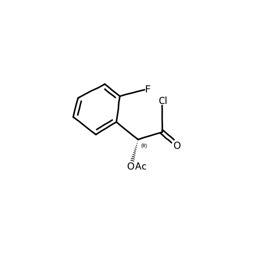 CC(=O)O[C@@H](C(=O)Cl)c1ccccc1F